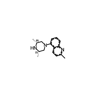 Cc1ccc2c(N3C[C@@H](C)N[C@@H](C)C3)cccc2n1